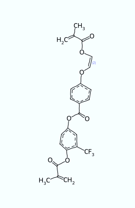 C=C(C)C(=O)O/C=C\Oc1ccc(C(=O)Oc2ccc(OC(=O)C(=C)C)c(C(F)(F)F)c2)cc1